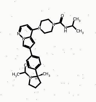 CC(C)NC(=O)N1CCN(c2ccnn3cc(-c4ccc([C@]5(C)CCCN5C(C)C)cc4)cc23)CC1